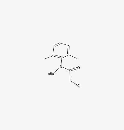 CCCCN(C(=O)CCl)c1c(C)cccc1C